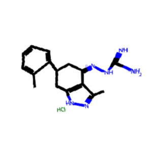 Cc1ccccc1C1C/C(=N/NC(=N)N)c2c(C)n[nH]c2C1.Cl